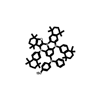 CC(C)(C)c1ccc(N(c2ccccc2)c2cc3c4c(c2)N(c2ccc5c(c2)C(C)(C)CCC5(C)C)c2c(oc5c2C(C)(C)CCC5(C)C)B4c2cc4c(cc2N3c2ccc3c(c2)C(C)(C)CCC3(C)C)C(C)(C)CCC4(C)C)cc1